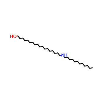 CCCCCCCCCCCCNCCCCCCCCCCCCCCCCCCO